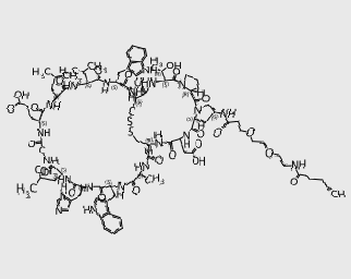 C#CCCCC(=O)NCCOCCOCCC(=O)N[C@H]1C[C@H]2C(=O)NC(CC(=O)O)C(=O)N[C@H]3CSSC[C@H](NC(=O)[C@H](Cc4c[nH]c5ccccc45)NC(=O)[C@H](C(C)C)NC(=O)[C@H](CC(C)C)NC(=O)[C@H](CCC(=O)O)NC(=O)CNC(=O)[C@H](CC(C)C)NC(=O)[C@H](Cc4cnc[nH]4)NC(=O)[C@H](Cc4c[nH]c5ccccc45)NC(=O)[C@H](C)NC3=O)C(=O)N[C@@H]([C@@H](C)O)C(=O)N3CCC[C@@H]3C(=O)N2C1